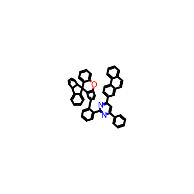 C1=CC2c3ccccc3C3(c4ccccc4Oc4ccc(-c5ccccc5-c5nc(-c6ccccc6)cc(-c6ccc7c(ccc8ccccc87)c6)n5)cc43)C2C=C1